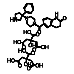 O=C(O)CC(O)(CC(=O)O)C(=O)O.O=C(O)CC(O)(CC(=O)O)C(=O)O.O=C1CCc2cc(C(=O)N3CCN(C4(c5ccccc5)CCNC4)CC3)ccc2N1